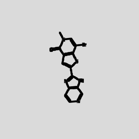 Cn1cc(Br)c2sc(-c3nc4ccncc4[nH]3)cc2c1=O